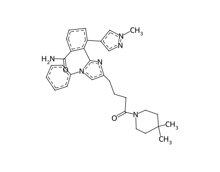 Cn1cc(-c2cccc(C(N)=O)c2-c2nc(CCCC(=O)N3CCC(C)(C)CC3)cn2-c2ccccc2)cn1